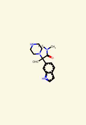 CN(C)C(=O)C(C=O)(c1ccc2cc[nH]c2c1)N1CCNCC1